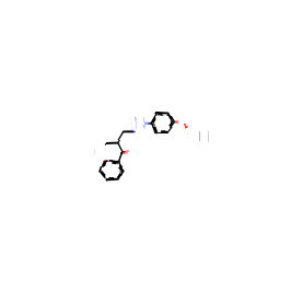 COc1ccc(NCCC2COc3ccccc3C2=O)cc1